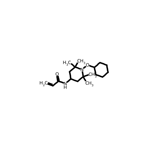 C=CC(=O)NC1CC(C)(C)N(OC2CCCCC2)C(C)(C)C1